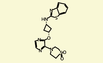 O=S1(=O)CCN(c2nccnc2O[C@H]2C[C@@H](Nc3nc4ccccc4s3)C2)CC1